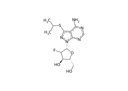 CC(C)Sc1nn([C@@H]2O[C@H](CO)[C@@H](O)C2F)c2ncnc(N)c12